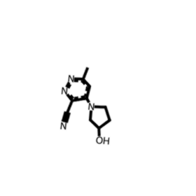 Cc1cc(N2CCC(O)C2)c(C#N)nn1